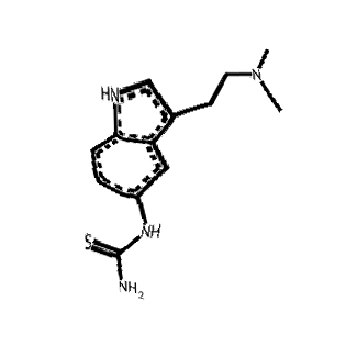 CN(C)CCc1c[nH]c2ccc(NC(N)=S)cc12